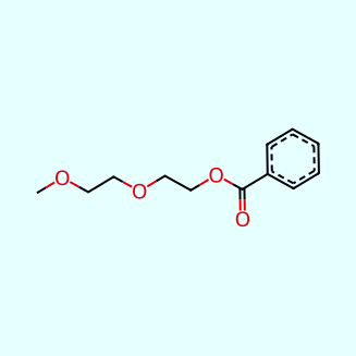 COCCOCCOC(=O)c1ccccc1